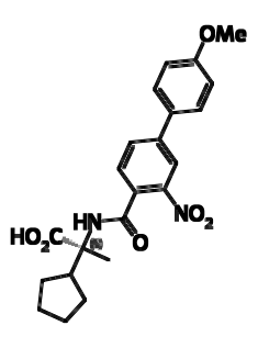 COc1ccc(-c2ccc(C(=O)N[C@](C)(C(=O)O)C3CCCC3)c([N+](=O)[O-])c2)cc1